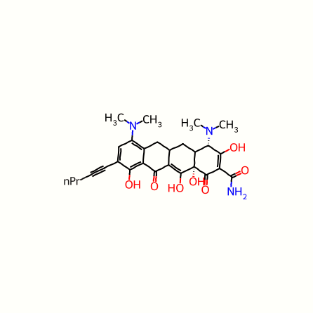 CCCC#Cc1cc(N(C)C)c2c(c1O)C(=O)C1=C(O)[C@]3(O)C(=O)C(C(N)=O)=C(O)[C@@H](N(C)C)C3CC1C2